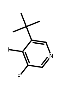 CC(C)(C)c1cncc(F)c1I